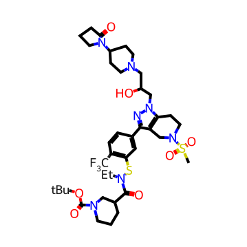 CCN(Sc1cc(-c2nn(CC(O)CN3CCC(N4CCCC4=O)CC3)c3c2CN(S(C)(=O)=O)CC3)ccc1C(F)(F)F)C(=O)C1CCCN(C(=O)OC(C)(C)C)C1